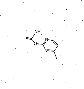 C=C(N)Oc1nccc(C)n1